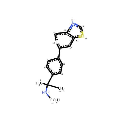 CC(C)(NC(=O)O)c1ccc(-c2ccc3ncsc3c2)cc1